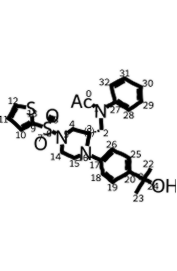 CC(=O)N(C[C@H]1CN(S(=O)(=O)c2cccs2)CCN1c1ccc(C(C)(C)O)cc1)c1ccccc1